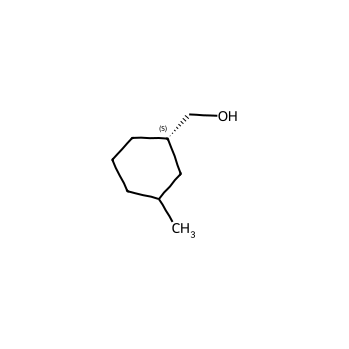 CC1CCC[C@H](CO)C1